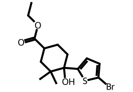 CCOC(=O)C1CCC(O)(c2ccc(Br)s2)C(C)(C)C1